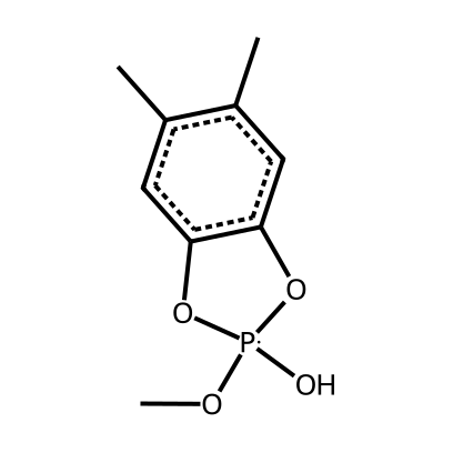 CO[P]1(O)Oc2cc(C)c(C)cc2O1